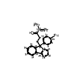 CC(C)N(C(=O)CCC1(c2ccc(F)cc2)c2ccccc2-c2nccn21)C(C)C